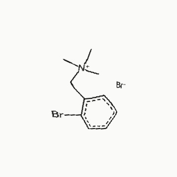 C[N+](C)(C)Cc1ccccc1Br.[Br-]